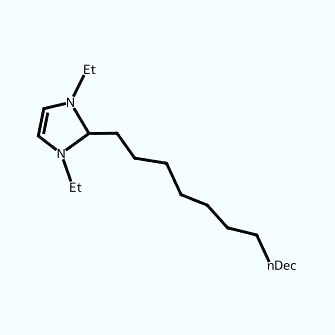 CCCCCCCCCCCCCCCCCC1N(CC)C=CN1CC